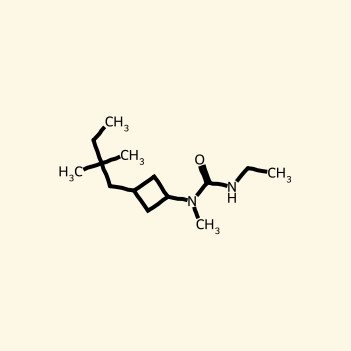 CCNC(=O)N(C)C1CC(CC(C)(C)CC)C1